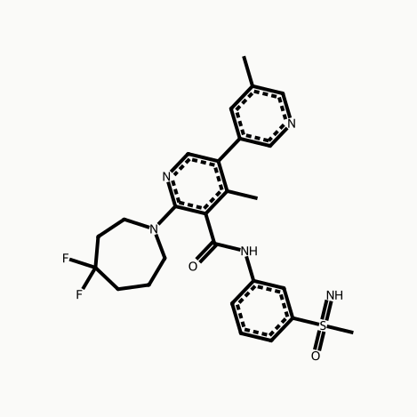 Cc1cncc(-c2cnc(N3CCCC(F)(F)CC3)c(C(=O)Nc3cccc(S(C)(=N)=O)c3)c2C)c1